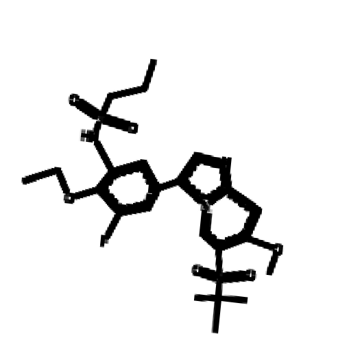 CCCS(=O)(=O)Nc1cc(-c2cnc3cc(OC)c(S(=O)(=O)C(C)(C)C)cn23)cc(F)c1OCC